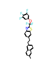 Cc1ccc2cc(CCc3ccc4nc(C(F)(F)Oc5cc(F)c(F)c(F)c5)sc4c3)ccc2c1